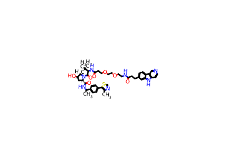 Cc1ncsc1-c1ccc(C(C)NC(=O)[C@@H]2C[C@@H](O)CN2C(=O)C(NC(=O)CCOCCOCCNC(=O)CCc2ccc3c(c2)[nH]c2ccncc23)C(C)(C)C)cc1